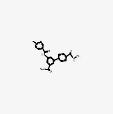 CNC(=O)c1cc(NC(=O)c2ccc(C)cc2)cc(-c2ccc(C(=O)NO)cc2)c1